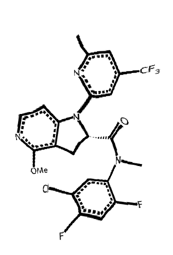 COc1nccc2c1C[C@@H](C(=O)N(C)c1cc(Cl)c(F)cc1F)N2c1cc(C(F)(F)F)cc(C)n1